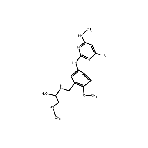 CNCC(C)NCc1cc(Nc2nc(C)cc(NC)n2)ccc1OC